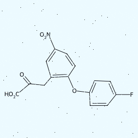 O=C(O)C(=O)Cc1cc([N+](=O)[O-])ccc1Oc1ccc(F)cc1